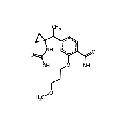 COCCCOc1cc(C(C)C2(NC(=O)O)CC2)ccc1C(N)=O